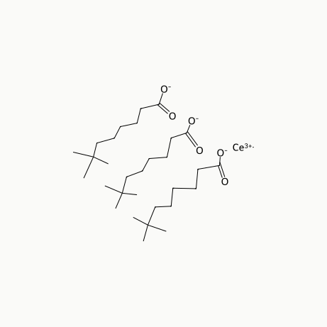 CC(C)(C)CCCCCC(=O)[O-].CC(C)(C)CCCCCC(=O)[O-].CC(C)(C)CCCCCC(=O)[O-].[Ce+3]